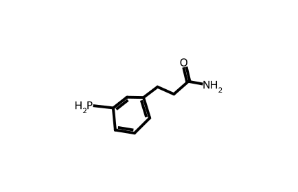 NC(=O)CCc1cccc(P)c1